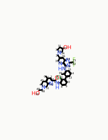 Cc1cc(C(=O)Nc2cccc(-c3cccc(Nc4nc(C(F)F)nc5cc(CN6CC[C@@H](O)C6)cnc45)c3C)c2Cl)nc2c1CCN(CCO)C2